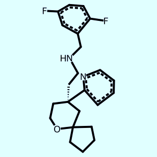 Fc1ccc(F)c(CNCC[C@@]2(c3ccccn3)CCOC3(CCCC3)C2)c1